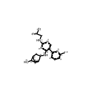 CCC(F)CNc1ncc(-c2cccc(F)n2)c(NC2CC3CC2CC3O)n1